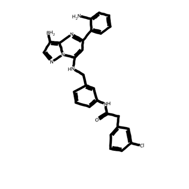 Bc1cnn2c(NCc3cccc(NC(=O)Cc4cccc(Cl)c4)c3)cc(-c3ccccc3N)nc12